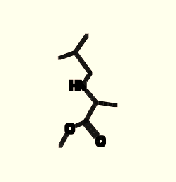 COC(=O)C(C)NCC(C)C